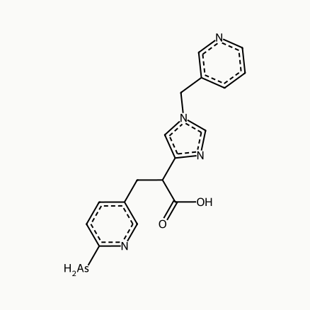 O=C(O)C(Cc1ccc([AsH2])nc1)c1cn(Cc2cccnc2)cn1